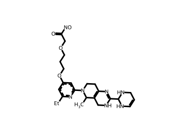 CCc1cc(OCCCOCC(=O)N=O)cc(N2CCC3=C(CNC(C4NC=CCN4)=N3)C2C)n1